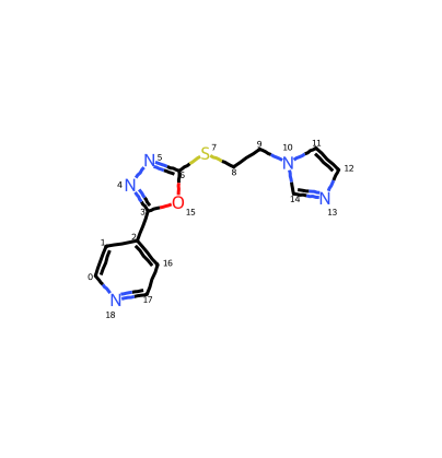 c1cc(-c2nnc(SCCn3ccnc3)o2)ccn1